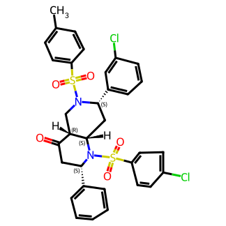 Cc1ccc(S(=O)(=O)N2C[C@H]3C(=O)C[C@@H](c4ccccc4)N(S(=O)(=O)c4ccc(Cl)cc4)[C@H]3C[C@H]2c2cccc(Cl)c2)cc1